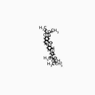 CCCC(Oc1ccc2c(=O)n(-c3ccc(N4CCC(N(C)C(=O)OC(C)(C)C)C4)c(F)c3)ccc2c1)C(=O)OCC